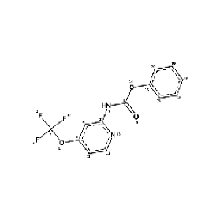 O=C(Nc1cc(OC(F)(F)F)ccn1)Oc1ccccc1